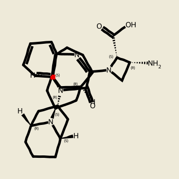 N[C@@H]1CN(c2nc3ccccc3n([C@H]3C[C@H]4CCC[C@@H](C3)N4[C@@H]3C[C@@H]4CCCC[C@@H](C4)C3)c2=O)[C@@H]1C(=O)O